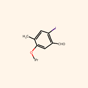 Cc1cc(I)c(C=O)cc1OC(C)C